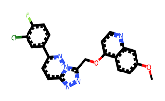 COc1ccc2c(OCc3nnc4ccc(-c5ccc(F)c(Cl)c5)nn34)ccnc2c1